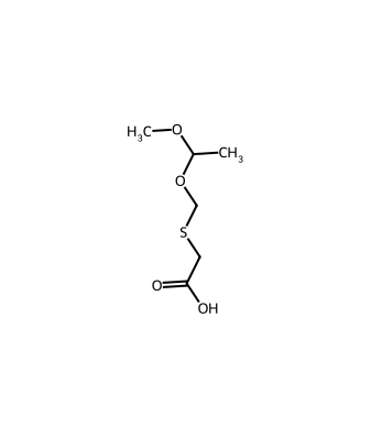 COC(C)OCSCC(=O)O